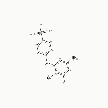 Bc1cc(C)c(N)c(Oc2ccc(S(C)(=O)=O)cc2)c1